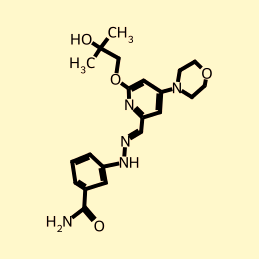 CC(C)(O)COc1cc(N2CCOCC2)cc(C=NNc2cccc(C(N)=O)c2)n1